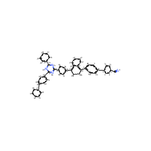 N#Cc1ccc(-c2ccc(C3=c4ccccc4=C(c4ccc(-c5nc(-c6ccccc6)nc(-c6ccc(-c7ccccc7)cc6)n5)cc4)CC3)cc2)cc1